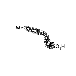 COc1ccc(-c2nc3cc4nc(-c5ccc(Oc6ccc(S(=O)(=O)c7ccc(C)c(C(F)(F)C(F)(F)S(=O)(=O)O)c7)cc6)cc5)sc4cc3s2)cc1